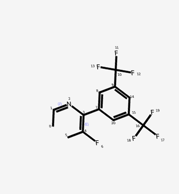 C/C=N\C(=C(/C)F)c1cc(C(F)(F)F)cc(C(F)(F)F)c1